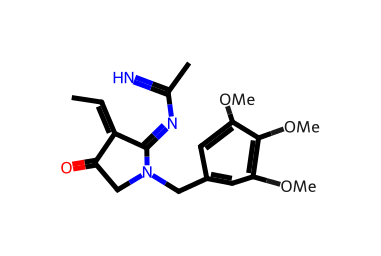 C/C=C1\C(=O)CN(Cc2cc(OC)c(OC)c(OC)c2)\C1=N\C(C)=N